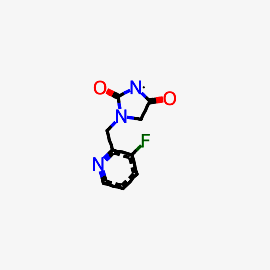 O=C1CN(Cc2ncccc2F)C(=O)[N]1